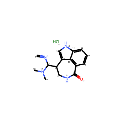 C=NC(C1CNC(=O)c2cccc3[nH]cc1c23)N(C)C.Cl